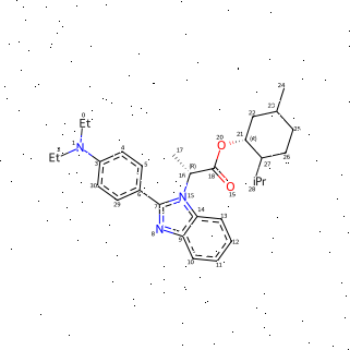 CCN(CC)c1ccc(-c2nc3ccccc3n2[C@H](C)C(=O)O[C@@H]2CC(C)CCC2C(C)C)cc1